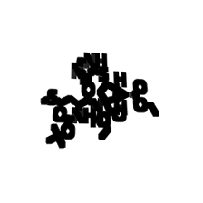 CCOC(=O)[C@H]1[C@H]2[C@@H]1[C@](NC(=O)[C@H](CCSC)NC(=O)OC(C)(C)C)(C(=O)OCC)C[C@@H]2Sc1nnc[nH]1